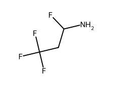 NC(F)CC(F)(F)F